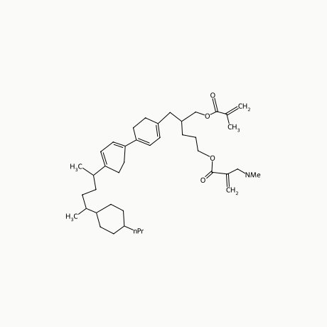 C=C(C)C(=O)OCC(CCCOC(=O)C(=C)CNC)CC1=CC=C(C2=CC=C(C(C)CCC(C)C3CCC(CCC)CC3)CC2)CC1